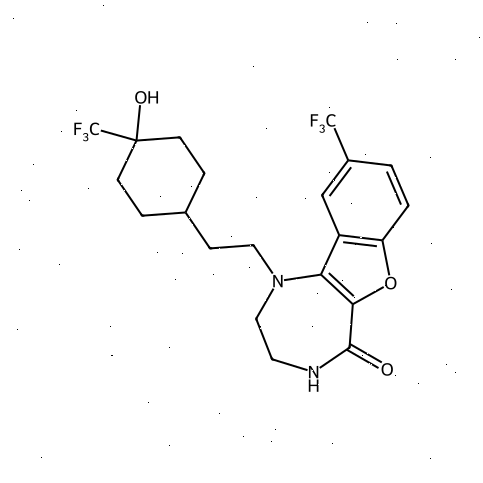 O=C1NCCN(CCC2CCC(O)(C(F)(F)F)CC2)c2c1oc1ccc(C(F)(F)F)cc21